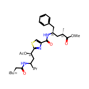 CC[C@H](C)CC(=O)NC(C[C@@H](OC(C)=O)c1nc(C(=O)N[C@@H](Cc2ccccc2)C[C@H](C)C(=O)OC)cs1)C(C)C